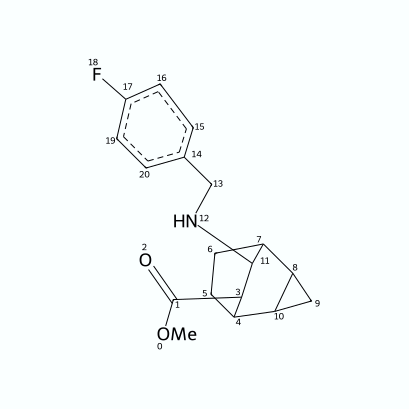 COC(=O)C1C2CCC(C3CC32)C1NCc1ccc(F)cc1